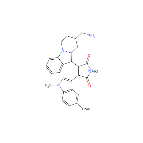 COc1ccc2c(c1)c(C1=C(c3c4n(c5ccccc35)CCC(CN)C4)C(=O)NC1=O)cn2C.Cl